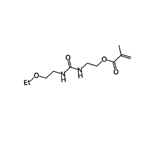 C=C(C)C(=O)OCCNC(=O)NCCOCC